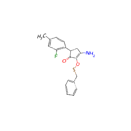 Cc1ccc(C2CC(N)=C(OSCc3ccccc3)C2=O)c(F)c1